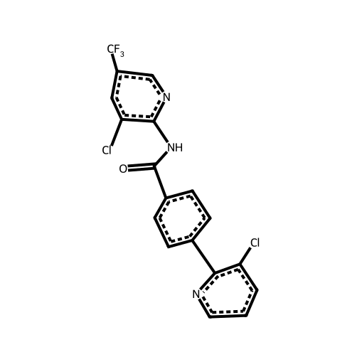 O=C(Nc1ncc(C(F)(F)F)cc1Cl)c1ccc(-c2ncccc2Cl)cc1